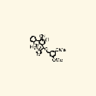 COc1cc(COC(c2ccc(C#N)c(-c3ccccc3C)c2)c2cncn2C)cc(OC)c1.Cl